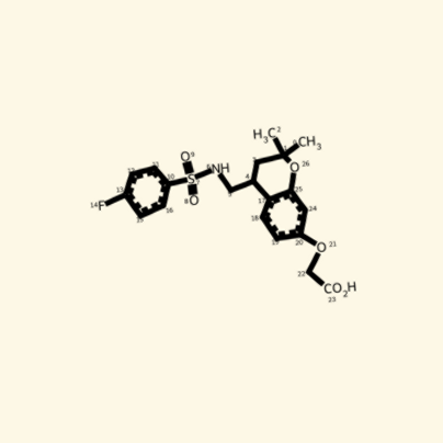 CC1(C)CC(CNS(=O)(=O)c2ccc(F)cc2)c2ccc(OCC(=O)O)cc2O1